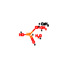 O.O.O=[PH](O)O.[CaH2]